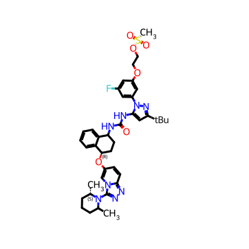 CC1CCC[C@H](C)N1c1nnc2ccc(O[C@@H]3CCC(NC(=O)Nc4cc(C(C)(C)C)nn4-c4cc(F)cc(OCCOS(C)(=O)=O)c4)c4ccccc43)cn12